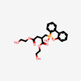 O=C(CC(C[PH]1(O)Oc2ccccc2-c2ccccc21)C(=O)OCCO)OCCO